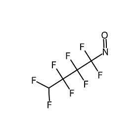 O=NC(F)(F)C(F)(F)C(F)(F)C(F)F